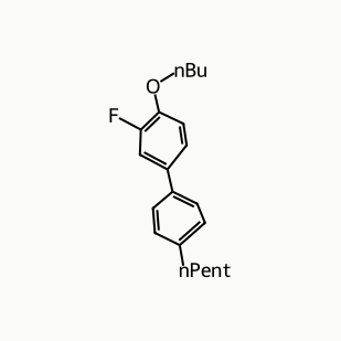 CCCCCc1ccc(-c2ccc(OCCCC)c(F)c2)cc1